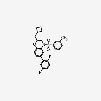 O=S(=O)(c1cccc(C(F)(F)F)c1)N1CC(CC2CCC2)Oc2ccc(-c3cc(F)ccc3F)cc21